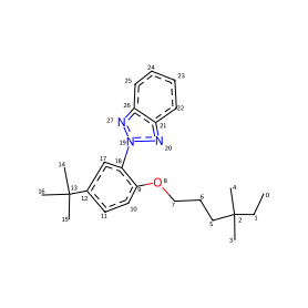 CCC(C)(C)CCCOc1ccc(C(C)(C)C)cc1-n1nc2ccccc2n1